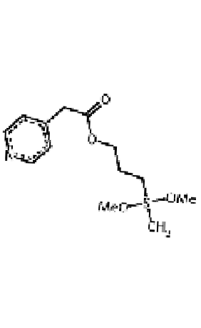 CO[Si](C)(CCCOC(=O)Cc1ccncc1)OC